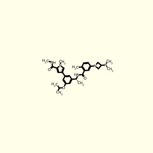 CNC(=O)c1cc(-c2cc(OC(C)C)cc([C@@H](C)NC(=O)c3cc(N4CC(N(C)C)C4)ccc3C)c2)cn1C